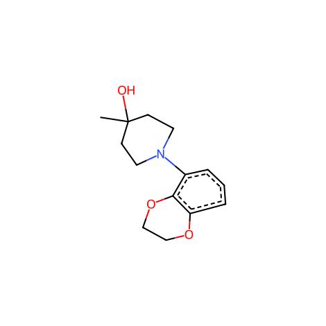 CC1(O)CCN(c2cccc3c2OCCO3)CC1